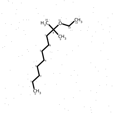 CCCCCCCCC(C)(C)OCC